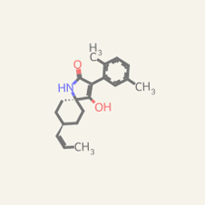 C/C=C\[C@H]1CC[C@]2(CC1)NC(=O)C(c1cc(C)ccc1C)=C2O